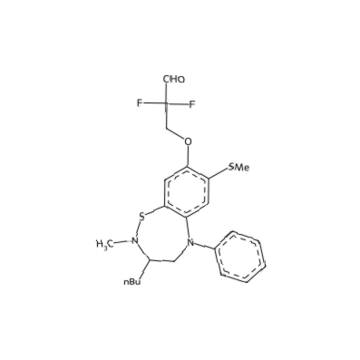 CCCCC1CN(c2ccccc2)c2cc(SC)c(OCC(F)(F)C=O)cc2SN1C